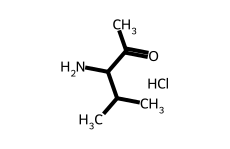 CC(=O)C(N)C(C)C.Cl